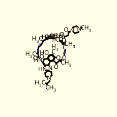 C/C1=C/C=C/C(C)[C@H](O)[C@@H](C)[C@@H](O)C[C@H](OC(=O)CC(=O)N2CCN(C)CC2)[C@H](C)C/C=C/O[C@@]2(C)Oc3c(C)c(O)c4c(c3C2=O)C2=NC3(CCN(CC(C)C)CC3)NC2=C(NC1=O)C4=O